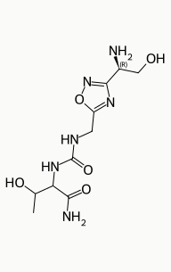 CC(O)C(NC(=O)NCc1nc([C@@H](N)CO)no1)C(N)=O